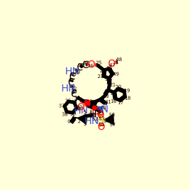 C=C[C@@H]1C[C@]1(NC(=O)[C@@H]1CN2C=C3/C=C(c4ccccc4)\C=C4/C=C(COCCNCCNC[C@H](C5CCCCC5)C(=O)C(=C31)C2)C(OC)=C4)C(=O)NS(=O)(=O)C1CC1